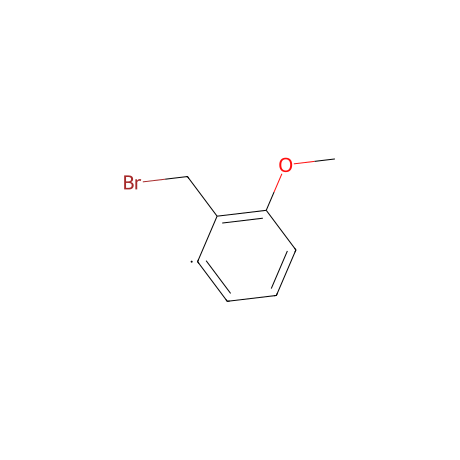 COc1ccc[c]c1CBr